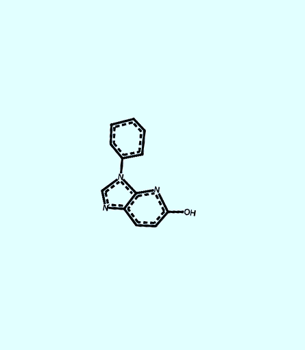 Oc1ccc2ncn(-c3ccccc3)c2n1